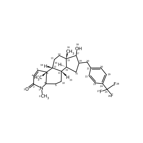 CN1C(=O)C=C[C@@]2(C)C1CC[C@@H]1[C@H]2CC[C@]2(C)C(O)C(Cc3ccc(C(F)(F)F)cc3)C[C@@H]12